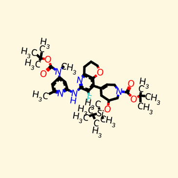 Cc1cc(N(C)C(=O)OC(C)(C)C)cc(Nc2nc3c(c(C4=CCN(C(=O)OC(C)(C)C)CC(O[Si](C)(C)C(C)(C)C)C4)c2F)OCCC3)n1